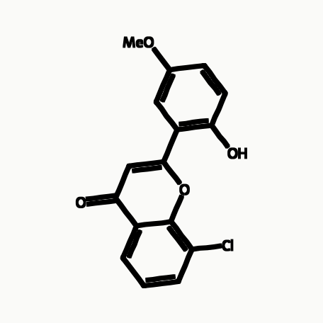 COc1ccc(O)c(-c2cc(=O)c3cccc(Cl)c3o2)c1